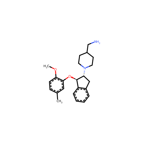 COc1ccc(C)cc1O[C@@H]1c2ccccc2C[C@H]1N1CCC(CN)CC1